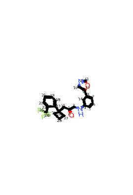 O=C(CNc1cccc(-c2cnco2)c1)CC1(c2ccccc2C(F)(F)F)CCC1